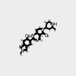 CC1CC(n2ccc3nc(-c4cc5cn(C)nc5cc4O)ncc3c2=O)CCN1